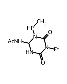 CCN1C(=O)NC(NC(C)=O)N(PC)C1=O